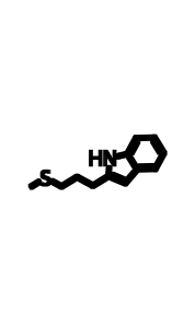 CSCCCc1cc2ccccc2[nH]1